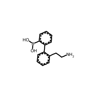 NCCc1ccccc1-c1ccccc1B(O)O